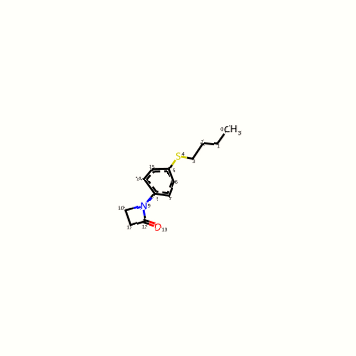 CCCCSc1ccc(N2CCC2=O)cc1